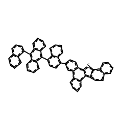 c1ccc2c(-c3c4ccccc4c(-c4ccc(-c5ccc6c(c5)c5ccccc5c5c7ccc8ccccc8c7sc65)c5ccccc45)c4ccccc34)cccc2c1